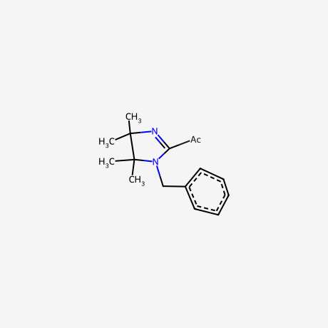 CC(=O)C1=NC(C)(C)C(C)(C)N1Cc1ccccc1